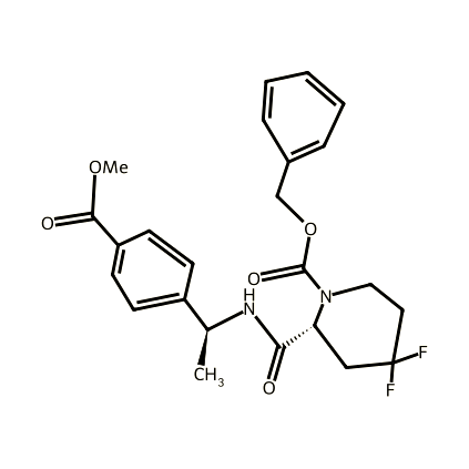 COC(=O)c1ccc([C@H](C)NC(=O)[C@H]2CC(F)(F)CCN2C(=O)OCc2ccccc2)cc1